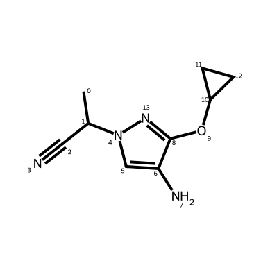 CC(C#N)n1cc(N)c(OC2CC2)n1